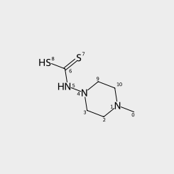 CN1CCN(NC(=S)S)CC1